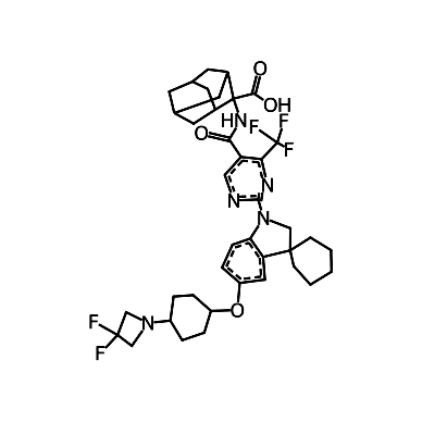 O=C(NC1(C(=O)O)C2CC3CC(C2)CC1C3)c1cnc(N2CC3(CCCCC3)c3cc(OC4CCC(N5CC(F)(F)C5)CC4)ccc32)nc1C(F)(F)F